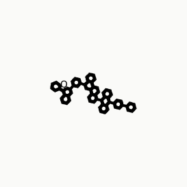 c1ccc(-c2ccc(-c3c4ccccc4c(-c4cccc5c4ccc4c6ccccc6c(-c6cccc(-c7cc8ccccc8c8c7oc7ccccc78)c6)cc54)c4ccccc34)cc2)cc1